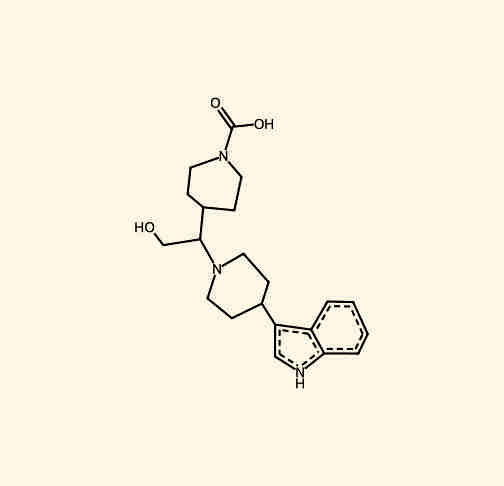 O=C(O)N1CCC(C(CO)N2CCC(c3c[nH]c4ccccc34)CC2)CC1